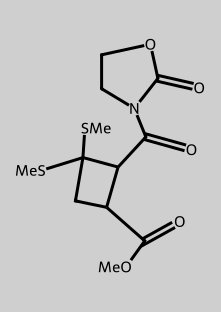 COC(=O)C1CC(SC)(SC)C1C(=O)N1CCOC1=O